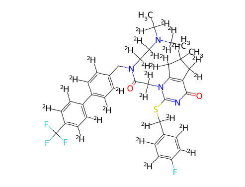 [2H]c1c([2H])c(C([2H])([2H])Sc2nc(=O)c3c(n2C([2H])([2H])C(=O)N(Cc2c([2H])c([2H])c(-c4c([2H])c([2H])c(C(F)(F)F)c([2H])c4[2H])c([2H])c2[2H])C([2H])([2H])C([2H])([2H])N(C([2H])([2H])C)C([2H])([2H])C)C([2H])([2H])C([2H])(C)C3([2H])[2H])c([2H])c([2H])c1F